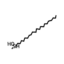 CCCCCCCCCCCCCCCCCCCCCC[SiH](C)O